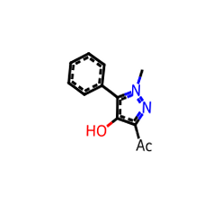 CC(=O)c1nn(C)c(-c2ccccc2)c1O